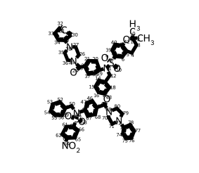 CC1(C)CCc2cc(S(=O)(=O)N(Cc3ccccc3)c3ccc(C(=O)N4CCN(c5ccccc5)CC4)cc3)ccc2O1.O=C(c1ccc(N(Cc2ccccc2)S(=O)(=O)c2ccc([N+](=O)[O-])cc2)cc1)N1CCN(c2ccccc2)CC1